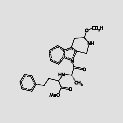 COC(=O)C(CCc1ccccc1)N[C@@H](C)C(=O)n1c2c(c3ccccc31)CC(OC(=O)O)NC2